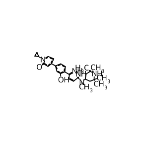 CN(C(=N)/C=C\C(=N)c1ccc(-c2ccn(C3CC3)c(=O)c2)cc1O)C1CC(C)(C)NC(C)(C)C1